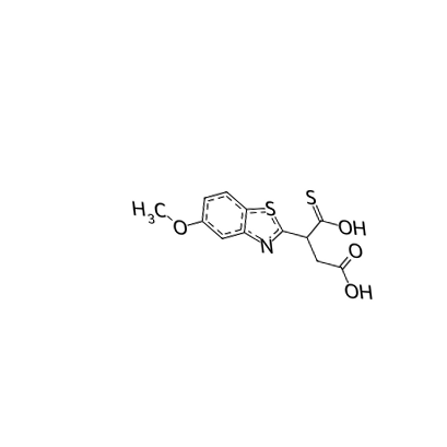 COc1ccc2sc(C(CC(=O)O)C(O)=S)nc2c1